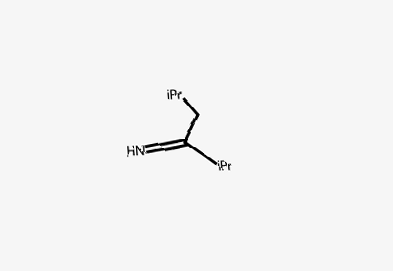 CC(C)CC(=N)C(C)C